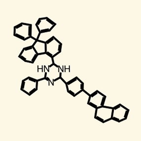 c1ccc(C2=NC(c3ccc(-c4ccc5c(ccc6ccccc65)c4)cc3)NC(c3cccc4c3-c3ccccc3C4(c3ccccc3)c3ccccc3)N2)cc1